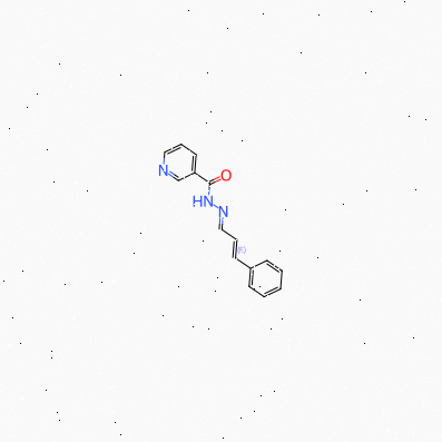 O=C(NN=C/C=C/c1ccccc1)c1cccnc1